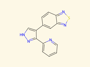 c1ccc(-c2n[nH]cc2-c2ccc3nsnc3c2)nc1